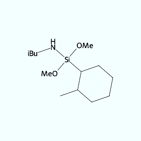 CCC(C)N[Si](OC)(OC)C1CCCCC1C